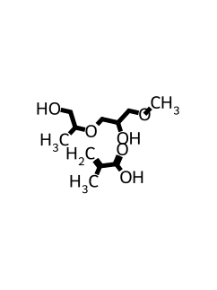 C=C(C)C(=O)O.COCC(O)COC(C)CO